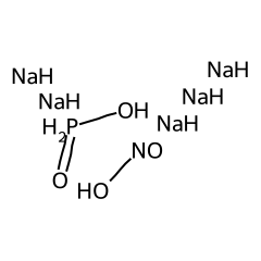 O=NO.O=[PH2]O.[NaH].[NaH].[NaH].[NaH].[NaH]